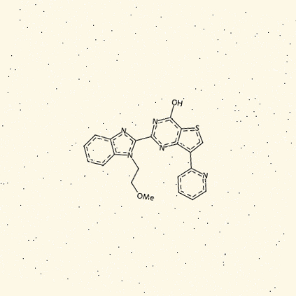 COCCn1c(-c2nc(O)c3scc(-c4ccccn4)c3n2)nc2ccccc21